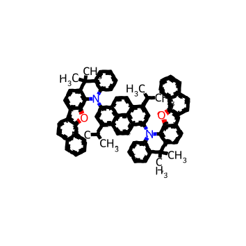 CC(C)c1cc(N2c3ccccc3C(C)(C)c3ccc4c(oc5c6ccccc6ccc45)c32)c2ccc3c(C(C)C)cc(N4c5ccccc5C(C)(C)c5ccc6c(oc7c8ccccc8ccc67)c54)c4ccc1c2c34